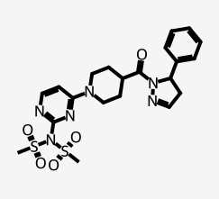 CS(=O)(=O)N(c1nccc(N2CCC(C(=O)N3N=CCC3c3ccccc3)CC2)n1)S(C)(=O)=O